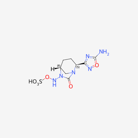 Nc1nc([C@@H]2CC[C@@H]3CN2C(=O)N3NOS(=O)(=O)O)no1